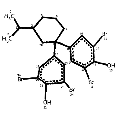 CC(C)C1CCCC(c2cc(Br)c(O)c(Br)c2)(c2cc(Br)c(O)c(Br)c2)C1